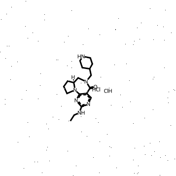 CCNc1ncc2c(n1)N1CCC[C@H]1CN(CC1CCNCC1)C2=O.Cl.Cl